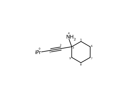 CC(C)C#CC1(N)CCCCC1